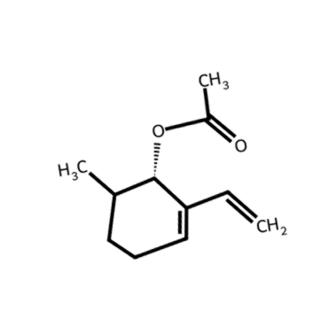 C=CC1=CCCC(C)[C@@H]1OC(C)=O